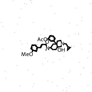 COc1cccc(/C=C/C(=O)N(C)C2CCC3(O)CN(CC4CC4)CCC3(c3cccc(OC(C)=O)c3)C2)c1